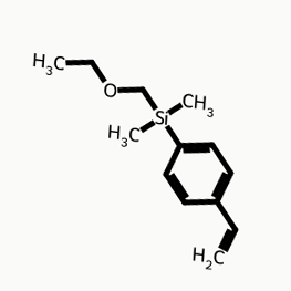 C=Cc1ccc([Si](C)(C)COCC)cc1